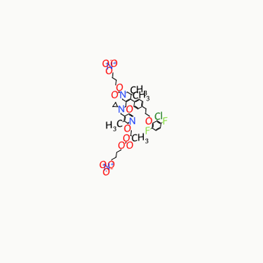 Cc1c(CN(C(=O)C2=C(c3ccc(CCCOc4c(F)ccc(F)c4Cl)cc3)C(C)(C)CN(C(=O)OCCCCO[N+](=O)[O-])C2)C2CC2)ccnc1OCC(C)OC(=O)OCCCCO[N+](=O)[O-]